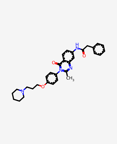 Cc1nc2cc(NC(=O)Cc3ccccc3)ccc2c(=O)n1-c1ccc(OCCCN2CCCCC2)cc1